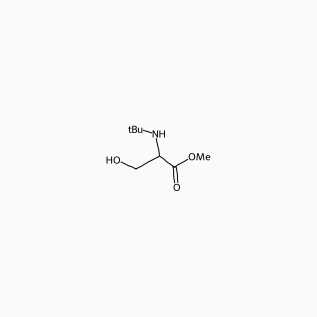 COC(=O)C(CO)NC(C)(C)C